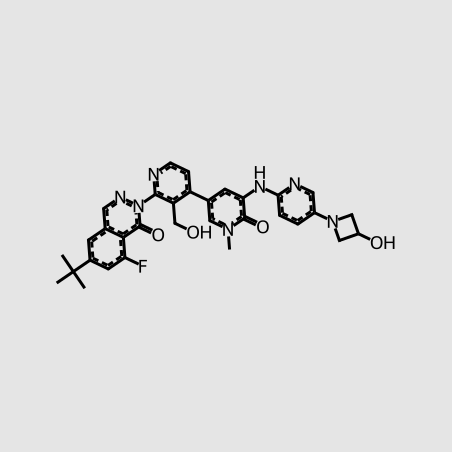 Cn1cc(-c2ccnc(-n3ncc4cc(C(C)(C)C)cc(F)c4c3=O)c2CO)cc(Nc2ccc(N3CC(O)C3)cn2)c1=O